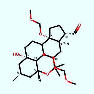 COCO[C@@H]1C[C@]2(C)[C@@H](C=O)CC[C@]2(OCOC)C2CC[C@]3(O)C[C@@H](C)C[C@H]4OC(C)(C)OC[C@]43C21